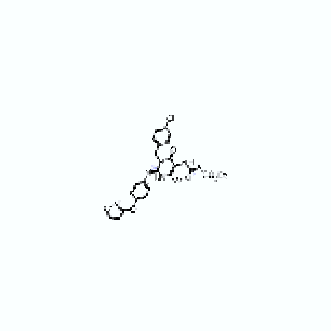 CCOC(=O)/N=C(\NC)Nc1c[nH]/c(=N\c2ccc(Oc3ccon3)cc2)n(Cc2ccc(Cl)cc2)c1=O